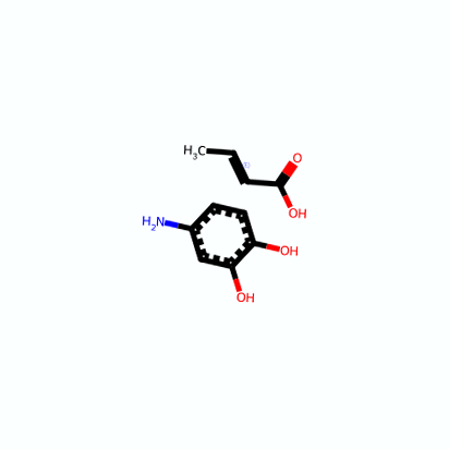 C/C=C/C(=O)O.Nc1ccc(O)c(O)c1